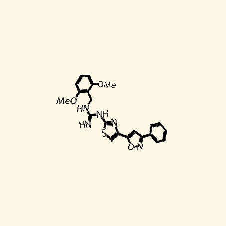 COc1cccc(OC)c1CNC(=N)Nc1nc(-c2cc(-c3ccccc3)no2)cs1